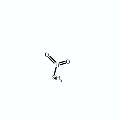 [O]=[Ti](=[O])[SiH3]